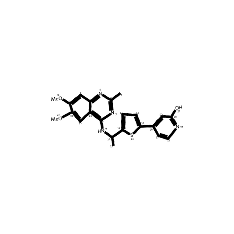 COc1cc2nc(C)nc(NC(C)c3ccc(-c4ccnc(O)c4)s3)c2cc1OC